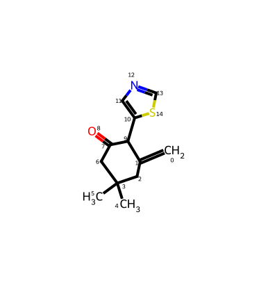 C=C1CC(C)(C)CC(=O)C1c1cncs1